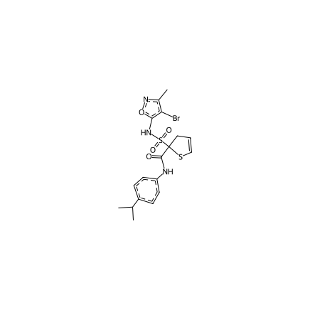 Cc1noc(NS(=O)(=O)C2(C(=O)Nc3ccc(C(C)C)cc3)CC=CS2)c1Br